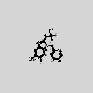 FC(F)(F)Cc1nc2cc(Cl)c(Cl)cc2n1Cc1ccccn1